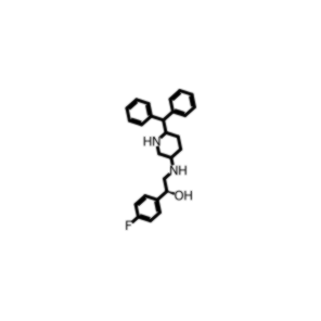 O[C@H](CNC1CCC(C(c2ccccc2)c2ccccc2)NC1)c1ccc(F)cc1